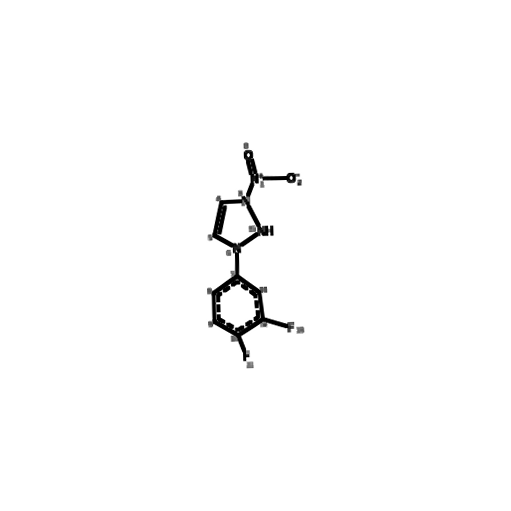 O=[N+]([O-])N1C=CN(c2ccc(F)c(F)c2)N1